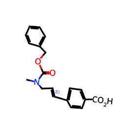 CN(C/C=C/c1ccc(C(=O)O)cc1)C(=O)OCc1ccccc1